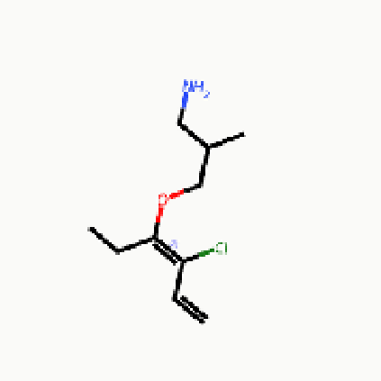 C=C/C(Cl)=C(\CC)OCC(C)CN